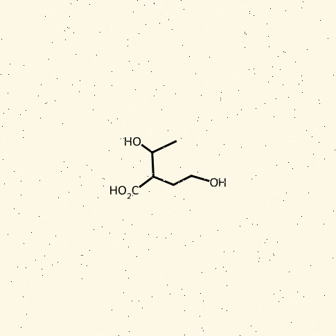 CC(O)C(CCO)C(=O)O